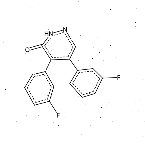 O=c1[nH]ncc(-c2cccc(F)c2)c1-c1cccc(F)c1